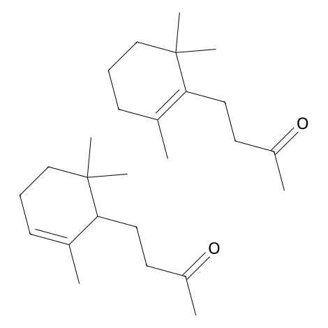 CC(=O)CCC1=C(C)CCCC1(C)C.CC(=O)CCC1C(C)=CCCC1(C)C